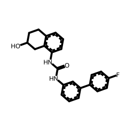 O=C(Nc1cccc(-c2ccc(F)cc2)c1)Nc1cccc2c1CC(O)CC2